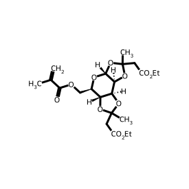 C=C(C)C(=O)OC[C@H]1O[C@@H]2OC(C)(CC(=O)OCC)O[C@H]2[C@H]2OC(C)(CC(=O)OCC)O[C@@H]21